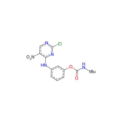 CC(C)(C)NC(=O)Oc1cccc(Nc2nc(Cl)ncc2[N+](=O)[O-])c1